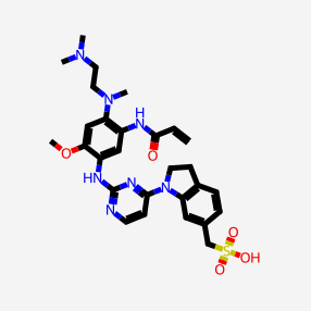 C=CC(=O)Nc1cc(Nc2nccc(N3CCc4ccc(CS(=O)(=O)O)cc43)n2)c(OC)cc1N(C)CCN(C)C